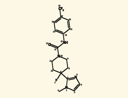 Cn1ccnc1C1(F)CCN(C(=O)Nc2ccc(C(F)(F)F)cc2)CC1